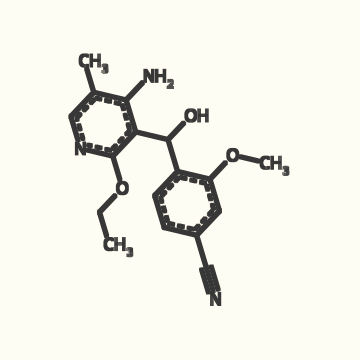 CCOc1ncc(C)c(N)c1C(O)c1ccc(C#N)cc1OC